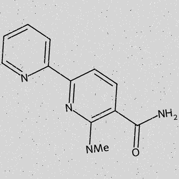 CNc1nc(-c2ccccn2)ccc1C(N)=O